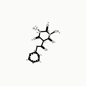 CN1C(=O)C(C(=O)Cc2ccccc2)C(=O)N(C)C1=O